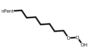 CCC[CH]CCCCCCCCOOO